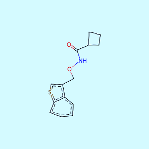 O=C(NOCc1csc2ccccc12)C1CCC1